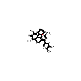 Cc1nc(-c2cnc(O)c(Br)c2)c2c(n1)[C@@]1(c3ccccc3)C=C(C#N)C(=O)[C@@H](C)[C@@H]1CC2